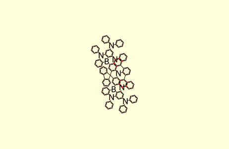 c1ccc(-c2cccc(-c3ccccc3)c2N2c3cc4c(cc3C3(c5ccccc5-c5ccccc53)c3cc5c(cc32)N(c2ccccc2)c2cc(N(c3ccccc3)c3ccccc3)cc3c2B5c2ccccc2N3c2ccccc2)B2c3ccccc3N(c3ccccc3)c3cc(N(c5ccccc5)c5ccccc5)cc(c32)N4c2ccccc2)cc1